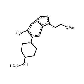 COCCn1ncc2cc([N+](=O)[O-])c(N3CCC(NC(=O)O)CC3)cc21